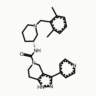 Cc1cccc(C)c1CN1CCC[C@@H](NC(=O)N2CCc3[nH]nc(-c4ccncc4)c3C2)C1